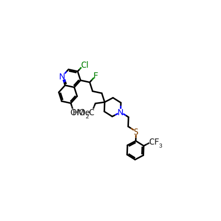 COc1ccc2ncc(Cl)c(C(F)CCC3(CC(=O)O)CCN(CCSc4ccccc4C(F)(F)F)CC3)c2c1